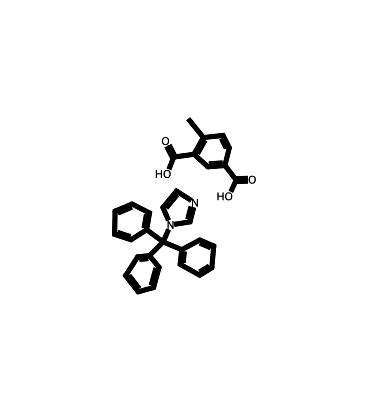 Cc1ccc(C(=O)O)cc1C(=O)O.c1ccc(C(c2ccccc2)(c2ccccc2)n2ccnc2)cc1